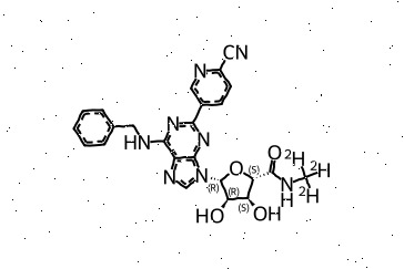 [2H]C([2H])([2H])NC(=O)[C@H]1O[C@@H](n2cnc3c(NCc4ccccc4)nc(-c4ccc(C#N)nc4)nc32)[C@H](O)[C@@H]1O